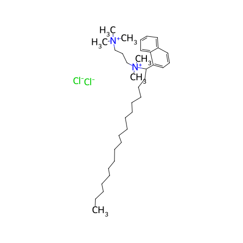 CCCCCCCCCCCCCCCCCC(c1cccc2ccccc12)[N+](C)(C)CCC[N+](C)(C)C.[Cl-].[Cl-]